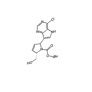 CC(C)(C)OC(=O)N1C(c2c[nH]c3c(Cl)ncnc23)C=C[C@H]1CO